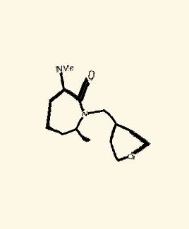 CNC1CCCC(C)N(CC2CCOCC2)C1=O